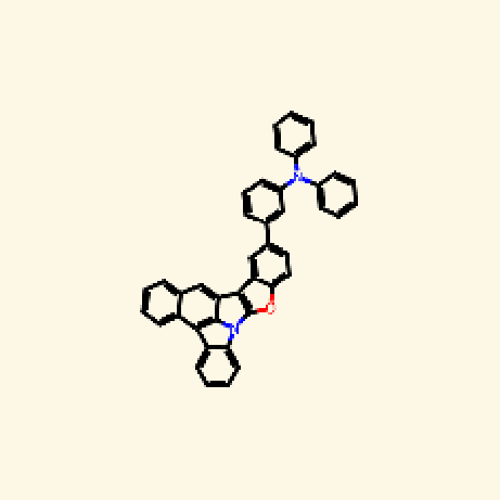 c1ccc(N(c2ccccc2)c2cccc(-c3ccc4oc5c(c4c3)c3cc4ccccc4c4c6ccccc6n5c34)c2)cc1